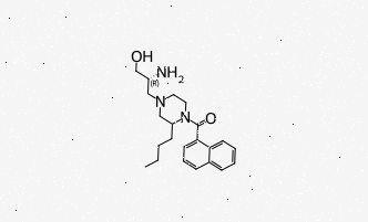 CCCCC1CN(C[C@@H](N)CO)CCN1C(=O)c1cccc2ccccc12